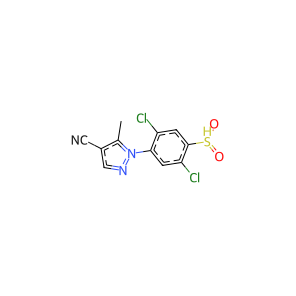 Cc1c(C#N)cnn1-c1cc(Cl)c([SH](=O)=O)cc1Cl